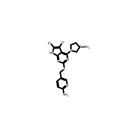 CCc1[nH]c2nc(SCc3ccc(N)nc3)nc(N3CC[C@@H](N)C3)c2c1Cl